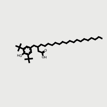 CCCCCCCCCCCCCCCCCCC(CC(=O)O)Cc1cc(C(C)(C)C)c(O)c(C(C)(C)C)c1